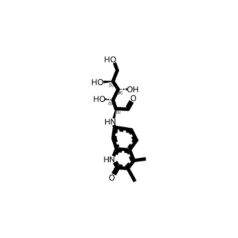 Cc1c(C)c2ccc(N[C@H](C=O)[C@H](O)[C@@H](O)[C@@H](O)CO)cc2[nH]c1=O